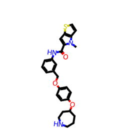 Cn1c(C(=O)Nc2cccc(COc3ccc(OC4CCCNCC4)cc3)c2)cc2sccc21